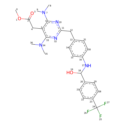 COC(=O)Cc1c(N(C)C)nc(Cc2ccc(NC(O)c3ccc(C(F)(F)F)cc3)cc2)nc1N(C)C